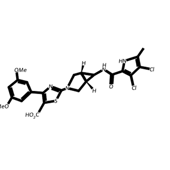 COc1cc(OC)cc(-c2nc(N3C[C@@H]4C(NC(=O)c5[nH]c(C)c(Cl)c5Cl)[C@@H]4C3)sc2C(=O)O)c1